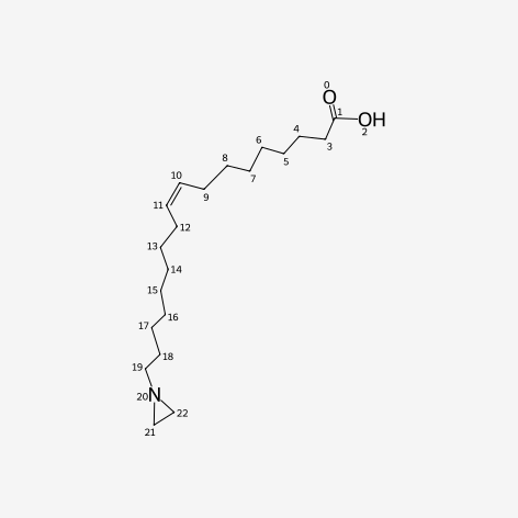 O=C(O)CCCCCCC/C=C\CCCCCCCCN1CC1